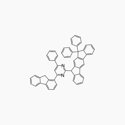 c1ccc(-c2cc(-c3cccc4c3Cc3ccccc3-4)nc(C3c4ccccc4-c4cc5c(cc43)C(c3ccccc3)(c3ccccc3)c3ccccc3-5)n2)cc1